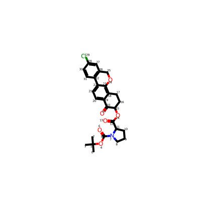 CC(C)(C)OC(=O)N1CCCC1C(=O)OC1CCc2c(ccc3c2OCc2cc(Cl)ccc2-3)C1=O